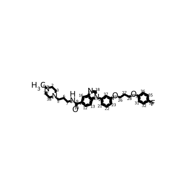 CN1CCN(CCCNC(=O)c2ccc3c(c2)ncn3-c2cccc(OCCCOc3ccc(F)cc3)c2)CC1